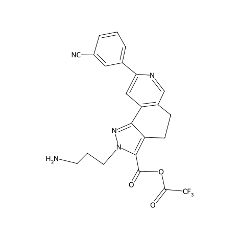 N#Cc1cccc(-c2cc3c(cn2)CCc2c-3nn(CCCN)c2C(=O)OC(=O)C(F)(F)F)c1